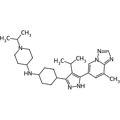 Cc1cc(-c2[nH]nc(C3CCC(NC4CCN(C(C)C)CC4)CC3)c2C(C)C)cn2ncnc12